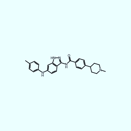 Cc1ccc(Nc2ccc3c(NC(=O)c4ccc(C5CCN(C)CC5)cc4)n[nH]c3c2)cc1